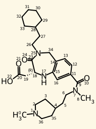 CN1CCC(CCN(C)C(=O)c2ccc3c(c2)N[C@H](CC(=O)O)C(=O)N(CCC2CCCCC2)C3)CC1